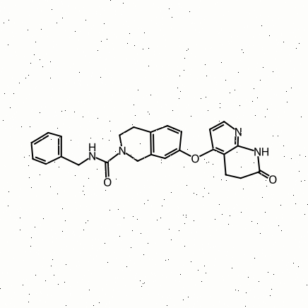 O=C1CCc2c(Oc3ccc4c(c3)CN(C(=O)NCc3ccccc3)CC4)ccnc2N1